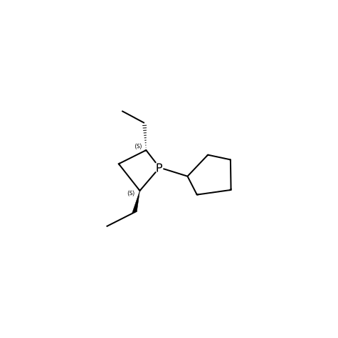 CC[C@H]1C[C@H](CC)P1C1CCCC1